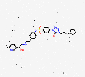 O=c1n(CCCC2CCCC2)nnn1-c1ccc(S(=O)(=O)Nc2ccc(CCNC[C@@H](O)c3cccnc3)cc2)cc1